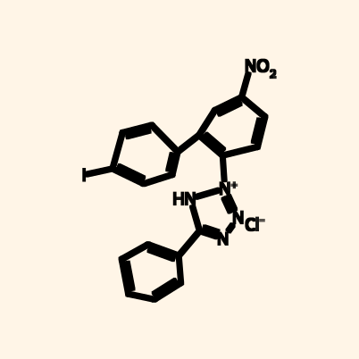 O=[N+]([O-])c1ccc(-[n+]2nnc(-c3ccccc3)[nH]2)c(-c2ccc(I)cc2)c1.[Cl-]